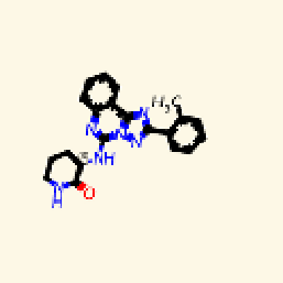 Cc1ccccc1-c1nc2c3ccccc3nc(N[C@H]3CCCNC3=O)n2n1